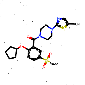 CNS(=O)(=O)c1ccc(OC2CCCC2)c(C(=O)N2CCN(c3ncc(C#N)s3)CC2)c1